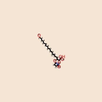 O=CCCCCCCCCCCCCCCCCC(ON1C(=O)CCC1=O)C(=O)O